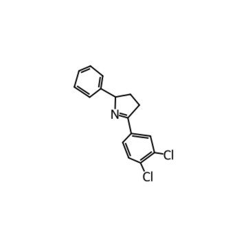 Clc1ccc(C2=NC(c3ccccc3)CC2)cc1Cl